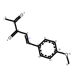 [C]C(=O)C(=O)/C=C/c1ccc(OC)cc1